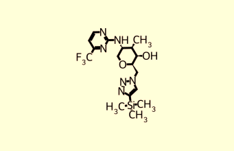 C[C@H]1[C@@H](O)[C@@H](Cn2cc([Si](C)(C)C)nn2)OC[C@@H]1Nc1nccc(C(F)(F)F)n1